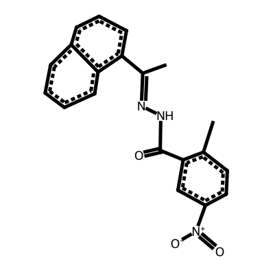 CC(=NNC(=O)c1cc([N+](=O)[O-])ccc1C)c1cccc2ccccc12